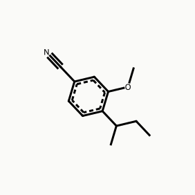 CCC(C)c1ccc(C#N)cc1OC